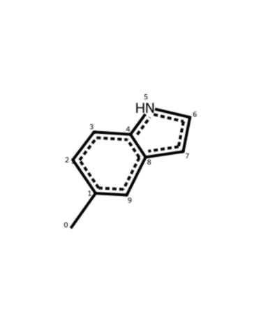 Cc1[c]cc2[nH]ccc2c1